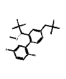 CO[C@@H](c1cc(CC(C)(C)C)ccc1-c1cc(F)ccc1F)C(C)(C)C